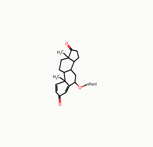 CCCCCOC1CC2C(CCC3(C)C(=O)CCC23)C2(C)C=CC(=O)C=C12